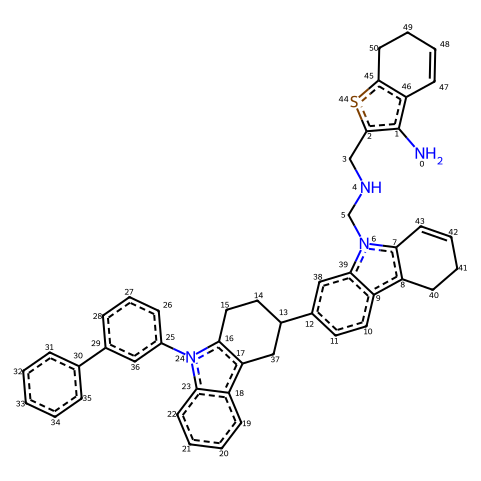 Nc1c(CNCn2c3c(c4ccc(C5CCc6c(c7ccccc7n6-c6cccc(-c7ccccc7)c6)C5)cc42)CCC=C3)sc2c1C=CCC2